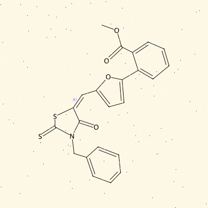 COC(=O)c1ccccc1-c1ccc(/C=C2/SC(=S)N(Cc3ccccc3)C2=O)o1